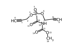 C#CCOP(=O)(OCC#C)C(=O)NC(=O)OC